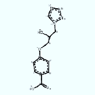 O=C(O)c1ccc(OCC(O)Cn2cnnn2)cc1